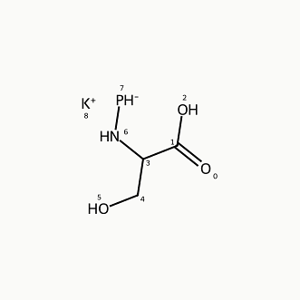 O=C(O)C(CO)N[PH-].[K+]